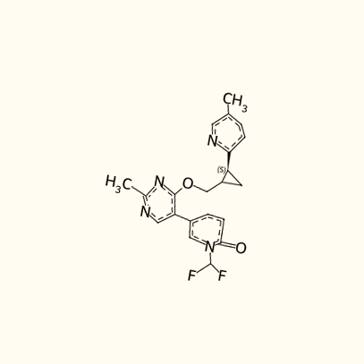 Cc1ccc([C@H]2CC2COc2nc(C)ncc2-c2ccc(=O)n(C(F)F)c2)nc1